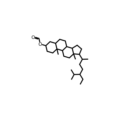 CCC(CCC(C)C1CCC2C3CCC4CC(OC=O)CCC4(C)C3CCC12C)C(C)C